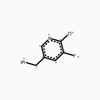 CC(C)Cc1cnc(Cl)c(F)c1